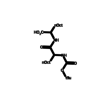 CCCCCCCCC(NC(=O)C(CCCCCCCC)NC(=O)OC(C)(C)C)C(=O)O